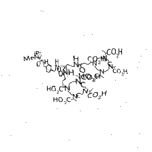 CN[C@@H](CC(C)C)C(=O)NCc1ccc(CNOC[C@H](CCNC(=O)CCC(C(=O)O)N2CCN(C(C)C(=O)O)CCN(C(C)C(=O)O)CCN(C(C)C(=O)O)CC2)NC(=O)CCC(C(=O)O)N2CCN(C(C)C(=O)O)CCN(C(C)C(=O)O)CCN(C(C)C(=O)O)CC2)cc1